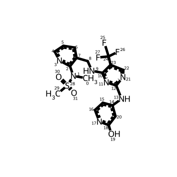 CN(c1ncccc1CNc1nc(Nc2ccnc(O)c2)ncc1C(F)(F)F)S(C)(=O)=O